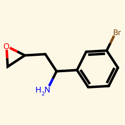 NC(CC1CO1)c1cccc(Br)c1